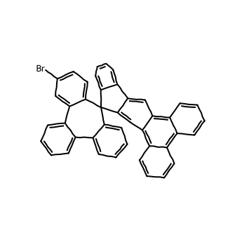 Brc1ccc2c(c1)-c1ccccc1-c1ccccc1C21c2ccccc2-c2cc3c4ccccc4c4ccccc4c3cc21